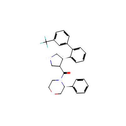 O=C(C1CNC[C@H]1c1ccccc1-c1cccc(C(F)(F)F)c1)N1CCOC[C@@H]1c1ccccc1